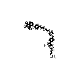 CCCCNc1ncc2c(-c3ccc(CN4CCN(CCCOCCCc5ccc(Oc6cccc7c6C(=O)NC(=O)C7=O)cc5)CC4)cc3)c[nH]c2n1